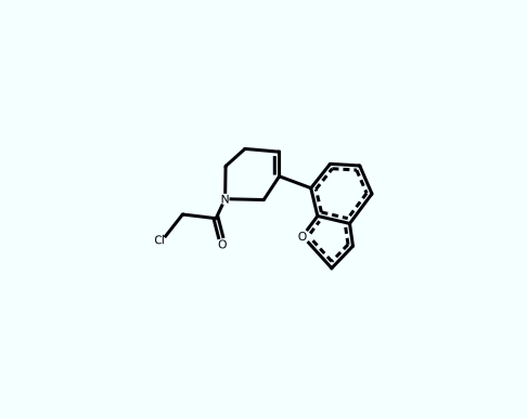 O=C(CCl)N1CCC=C(c2cccc3ccoc23)C1